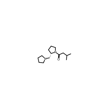 CC(C)CC(=O)N1CCC[C@H]1CN1CCCC1